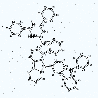 C1=CC2c3ccc4c(c3N(c3ccc5c(c3)c3ccccc3n5-c3ccccc3)C2C=C1)c1ccccc1n4C1N=C(c2ccccc2)N=C(c2ccccc2)N1